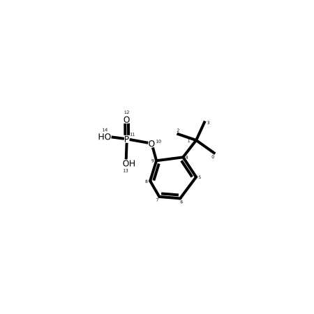 CC(C)(C)c1ccccc1OP(=O)(O)O